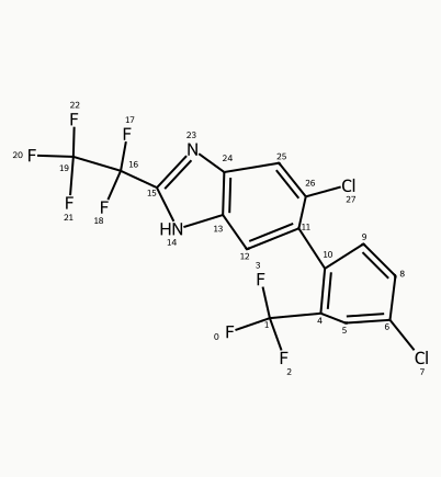 FC(F)(F)c1cc(Cl)ccc1-c1cc2[nH]c(C(F)(F)C(F)(F)F)nc2cc1Cl